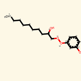 CCCCCCCCCCCCCCCCCC(O)COOc1cccc(O)c1